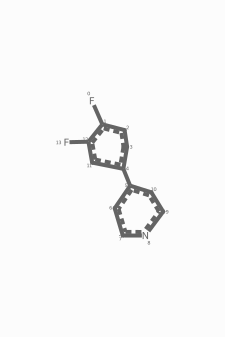 Fc1ccc(-c2c[c]ncc2)cc1F